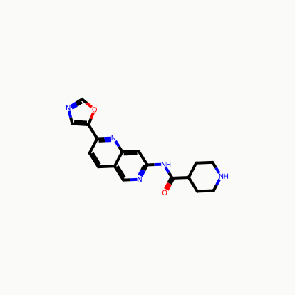 O=C(Nc1cc2nc(-c3cnco3)ccc2cn1)C1CCNCC1